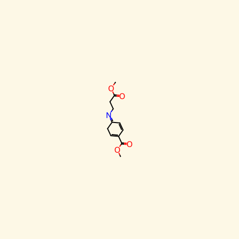 COC(=O)CCN=C1C=CC(C(=O)OC)=CC1